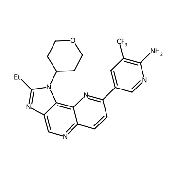 CCc1nc2cnc3ccc(-c4cnc(N)c(C(F)(F)F)c4)nc3c2n1C1CCOCC1